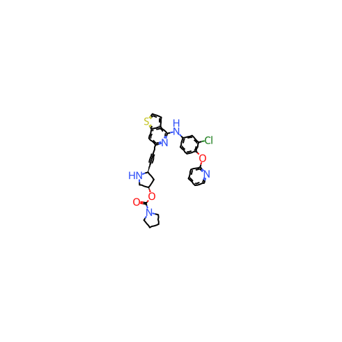 O=C(O[C@H]1CN[C@@H](C#Cc2cc3sccc3c(Nc3ccc(Oc4ccccn4)c(Cl)c3)n2)C1)N1CCCC1